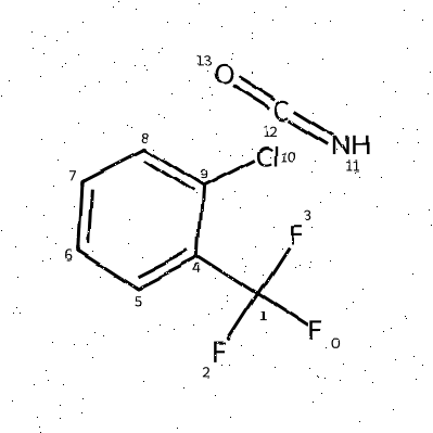 FC(F)(F)c1ccccc1Cl.N=C=O